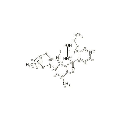 CCCCC(O)(Cn1c2c(c3cc(C)ccc31)C1CCC(C2)N1C)NC(=O)c1ccncc1